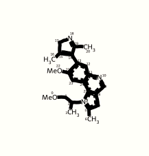 COCC(C)n1c(C)cc2cnc3cc(C4=C(C)CN=C4C)c(OC)cc3c21